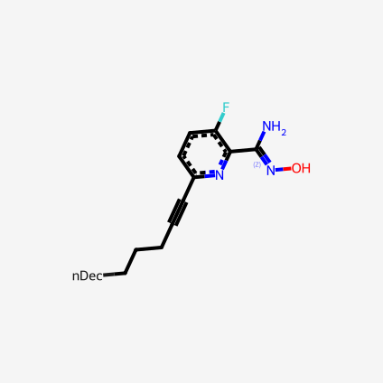 CCCCCCCCCCCCCC#Cc1ccc(F)c(/C(N)=N/O)n1